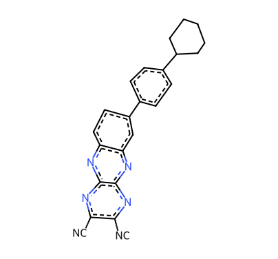 [C-]#[N+]c1nc2nc3cc(-c4ccc(C5CCCCC5)cc4)ccc3nc2nc1C#N